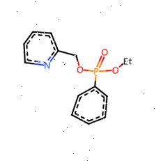 CCOP(=O)(OCc1ccccn1)c1ccccc1